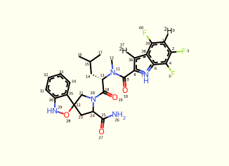 [2H]c1c(F)c(F)c2[nH]c(C(=O)N(C)[C@@H](CC(C)C)C(=O)N3CC4(CC3C(N)=O)ONc3ccccc34)c([2H])c2c1F